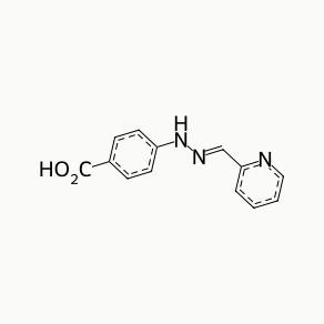 O=C(O)c1ccc(N/N=C/c2ccccn2)cc1